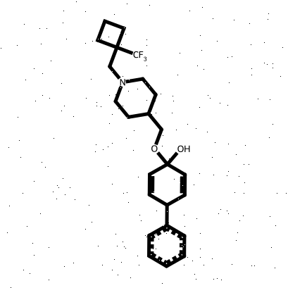 OC1(OCC2CCN(CC3(C(F)(F)F)CCC3)CC2)C=CC(c2ccccc2)C=C1